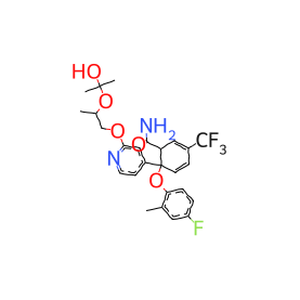 Cc1cc(F)ccc1OC1(c2ccnc(OCC(C)OC(C)(C)O)c2)C=CC(C(F)(F)F)=CC1C(N)=O